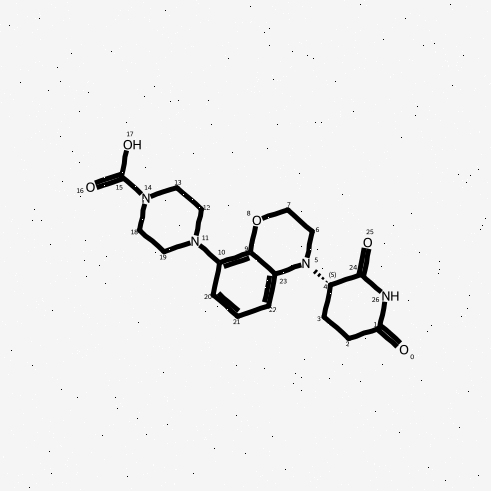 O=C1CC[C@H](N2CCOc3c(N4CCN(C(=O)O)CC4)cccc32)C(=O)N1